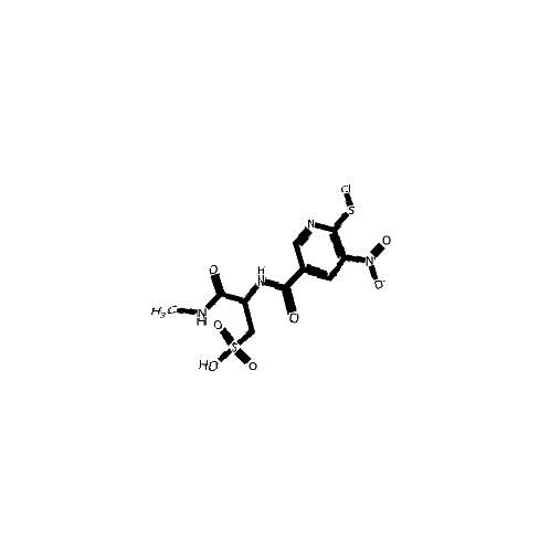 CNC(=O)C(CS(=O)(=O)O)NC(=O)c1cnc(SCl)c([N+](=O)[O-])c1